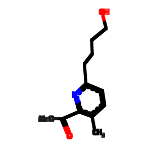 COC(=O)c1nc(CCCCO)ccc1C